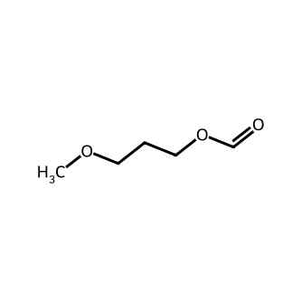 COCCCOC=O